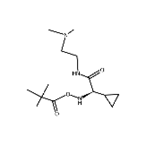 CN(C)CCNC(=O)[C@H](NOC(=O)C(C)(C)C)C1CC1